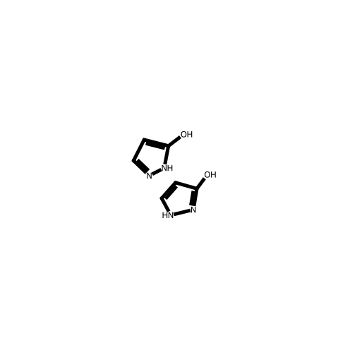 Oc1cc[nH]n1.Oc1ccn[nH]1